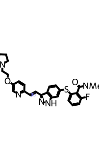 CNC(=O)c1c(F)cccc1Sc1ccc2c(/C=C/c3ccc(OCCN4CCCC4)cn3)n[nH]c2c1